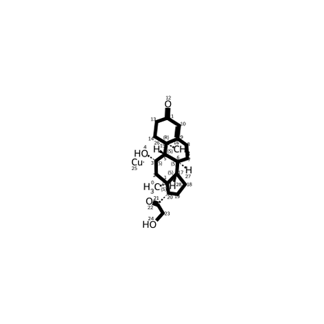 C[C@]12C[C@H](O)[C@H]3[C@@H](CCC4=CC(=O)CC[C@@]43C)[C@@H]1CC[C@@H]2C(=O)CO.[Cu]